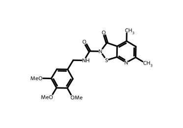 COc1cc(CNC(=O)n2sc3nc(C)cc(C)c3c2=O)cc(OC)c1OC